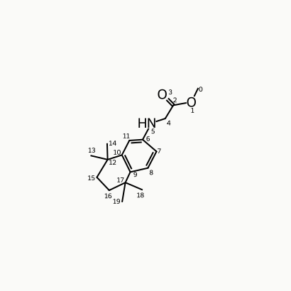 COC(=O)CNc1ccc2c(c1)C(C)(C)CCC2(C)C